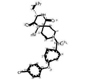 CCCCN1C(=O)[C@H](CC(C)C)NC(=O)C12CCN(Cc1ccc(Oc3ccc(Cl)cc3)cc1)CC2.Cl